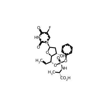 C=C[C@@H](O[P@@](=O)(N[C@@H](C)C(=O)O)Oc1ccccc1)[C@H]1O[C@@H](n2cc(F)c(=O)[nH]c2=O)C[C@@H]1O